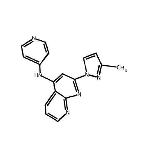 Cc1ccn(-c2cc(Nc3ccncc3)c3cccnc3n2)n1